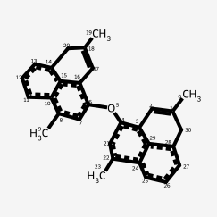 CC1=Cc2c(Oc3cc(C)c4cccc5c4c3C=C(C)C5)cc(C)c3cccc(c23)C1